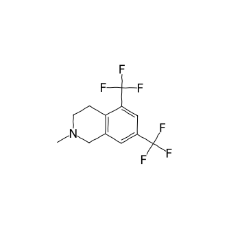 CN1CCc2c(cc(C(F)(F)F)cc2C(F)(F)F)C1